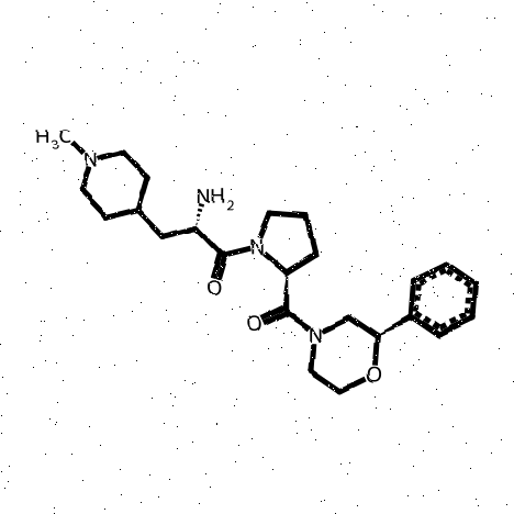 CN1CCC(C[C@H](N)C(=O)N2CCC[C@H]2C(=O)N2CCO[C@H](c3ccccc3)C2)CC1